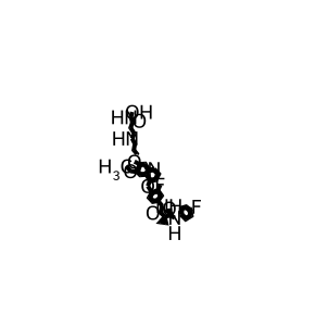 COc1cc2c(Oc3ccc(NC(=O)C4(C(=O)Nc5ccc(F)cc5)CC4)cc3F)ccnc2cc1OCCCNCCC(=O)NO